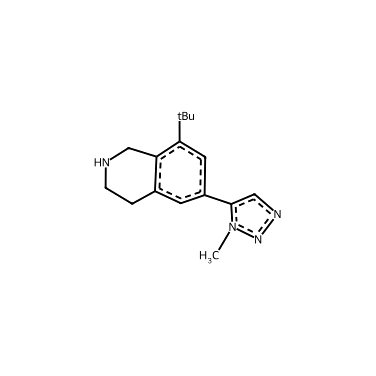 Cn1nncc1-c1cc2c(c(C(C)(C)C)c1)CNCC2